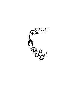 CCN(C(=O)c1cccc(Cl)c1F)c1nnc(-c2ccc(CN3CCC(C(=O)O)CC3)cc2)s1